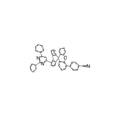 N#Cc1ccc(-c2cccc3c2Oc2ccccc2C32c3ccccc3-c3c(-c4cc(-c5ccccc5)nc(-c5ccccc5)n4)cccc32)cc1